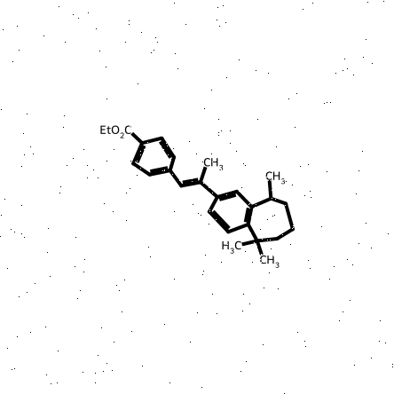 CCOC(=O)c1ccc(C=C(C)c2ccc3c(c2)C(C)CCCC3(C)C)cc1